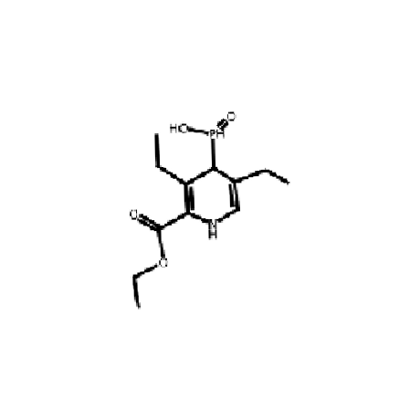 CCOC(=O)C1=C(CC)C([PH](=O)O)C(CC)=CN1